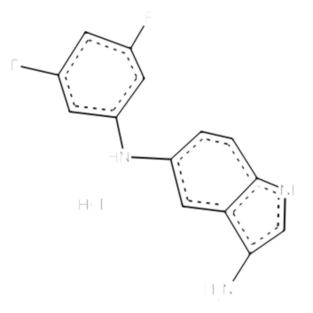 Cl.Nc1c[nH]c2ccc(Nc3cc(F)cc(F)c3)cc12